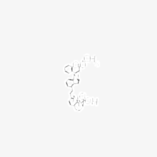 CCOC(=O)C=C(c1ccccc1)n1ccc2c(C=Cc3ccc4c(n3)N(C(=O)O)CCC4)cccc21